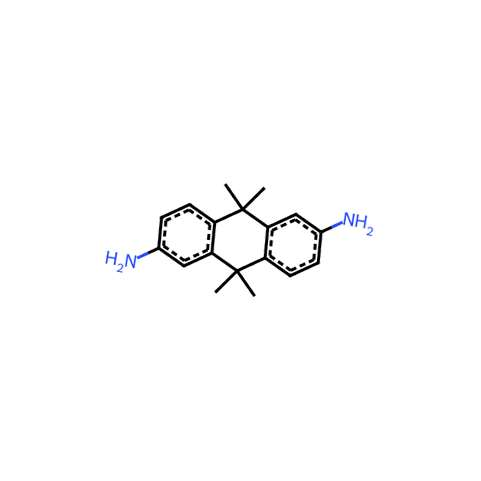 CC1(C)c2ccc(N)cc2C(C)(C)c2ccc(N)cc21